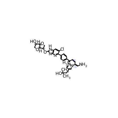 C=C(/C=C\C(=C/N)n1cc(CC(C)(C)O)cn1)c1ccc(-c2nc3nc(O[C@@H]4CO[C@H]5[C@@H]4OC[C@H]5O)[nH]c3cc2Cl)cc1